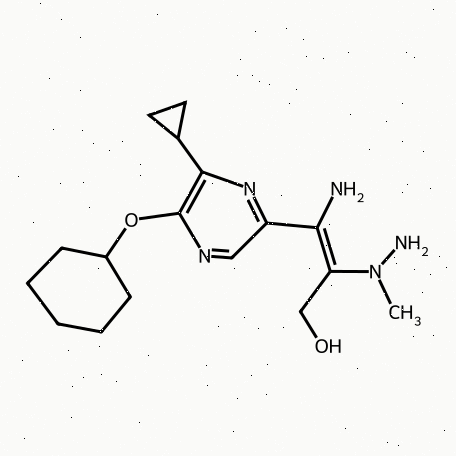 CN(N)/C(CO)=C(\N)c1cnc(OC2CCCCC2)c(C2CC2)n1